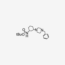 CC(C)(C)OC(=O)N[C@H]1CCC[C@@H](N2CCN(Cc3ccccc3)CC2)C1